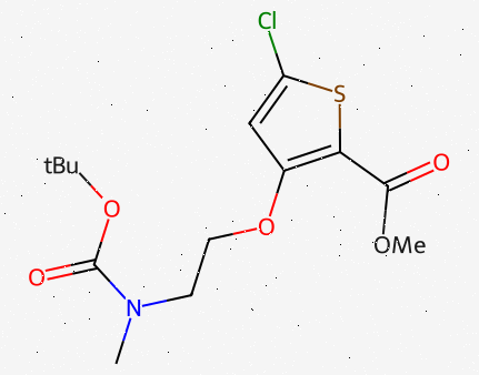 COC(=O)c1sc(Cl)cc1OCCN(C)C(=O)OC(C)(C)C